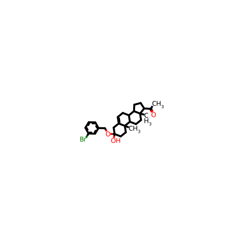 CC(=O)C1CCC2C3CC=C4CC(O)(OCc5cccc(Br)c5)CCC4(C)C3CCC12C